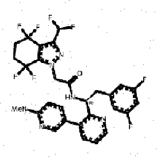 CNc1ccc(-c2cccnc2[C@H](Cc2cc(F)cc(F)c2)NC(=O)Cn2nc(C(F)F)c3c2C(F)(F)CCC3(F)F)cn1